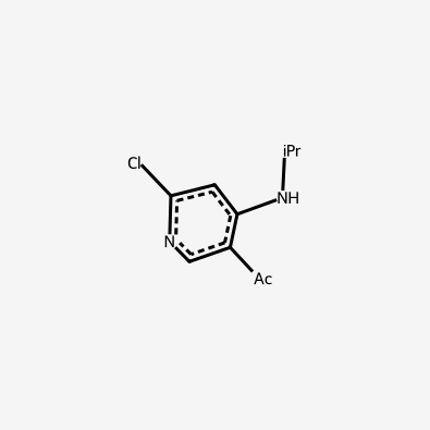 CC(=O)c1cnc(Cl)cc1NC(C)C